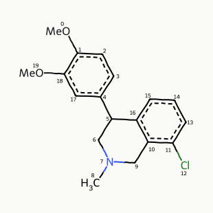 COc1ccc(C2CN(C)Cc3c(Cl)cccc32)cc1OC